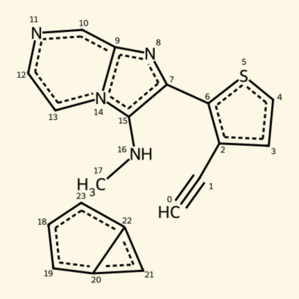 C#Cc1ccsc1-c1nc2cnccn2c1NC.c1cc2cc-2c1